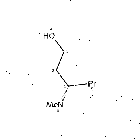 CN[C@H](CCO)C(C)C